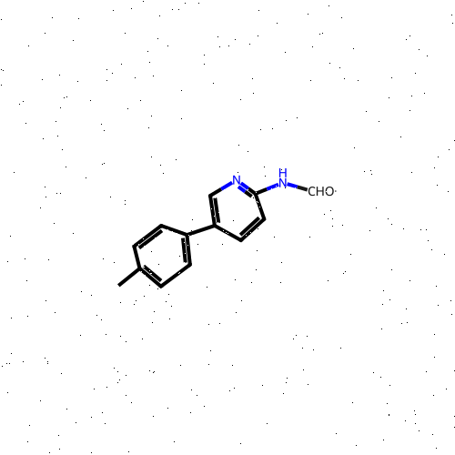 Cc1ccc(-c2ccc(N[C]=O)nc2)cc1